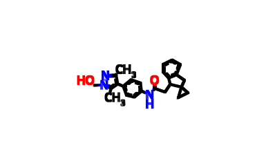 Cc1nn(CO)c(C)c1-c1ccc(NC(=O)CC2c3ccccc3CC23CC3)cc1